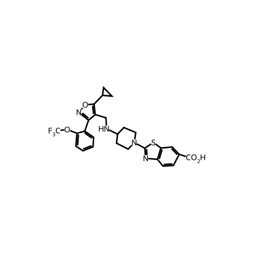 O=C(O)c1ccc2nc(N3CCC(NCc4c(-c5ccccc5OC(F)(F)F)noc4C4CC4)CC3)sc2c1